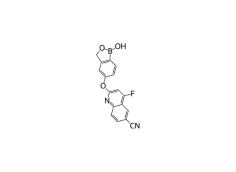 N#Cc1ccc2nc(Oc3ccc4c(c3)COB4O)cc(F)c2c1